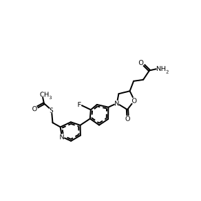 CC(=O)SCc1cc(-c2ccc(N3CC(CCC(N)=O)OC3=O)cc2F)ccn1